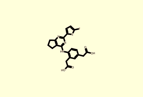 O=C(O)Cc1ccc(Nc2nc(-c3ccc(F)s3)nc3c2CCC3)c(CC(=O)O)c1